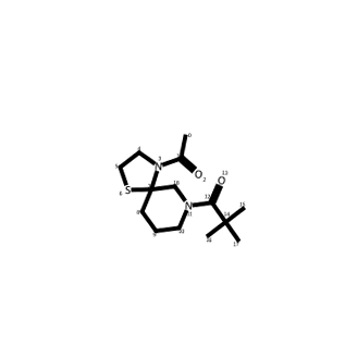 CC(=O)N1CCSC12CCCN(C(=O)C(C)(C)C)C2